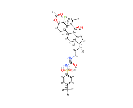 CC[C@@H]1[C@@H]2[C@@H](F)[C@H](OC(C)=O)CC[C@]2(C)C2CC[C@@]3(C)C(CCC3[C@H](C)CCNC(=O)NS(=O)(=O)c3ccc(C(C)(C)C)cc3)C2[C@@H]1O